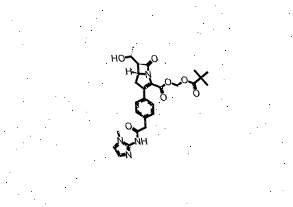 C[C@@H](O)[C@H]1C(=O)N2C(C(=O)OCOC(=O)C(C)(C)C)=C(c3ccc(CC(=O)Nc4nccn4C)cc3)C[C@H]12